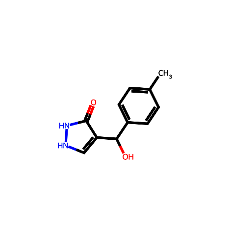 Cc1ccc(C(O)c2c[nH][nH]c2=O)cc1